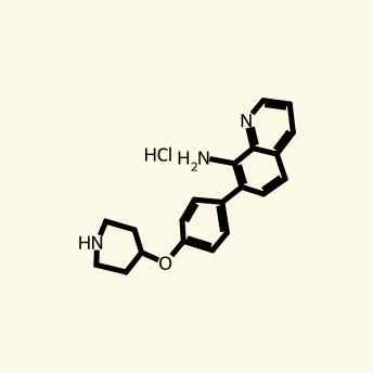 Cl.Nc1c(-c2ccc(OC3CCNCC3)cc2)ccc2cccnc12